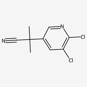 CC(C)(C#N)c1cnc(Cl)c(Cl)c1